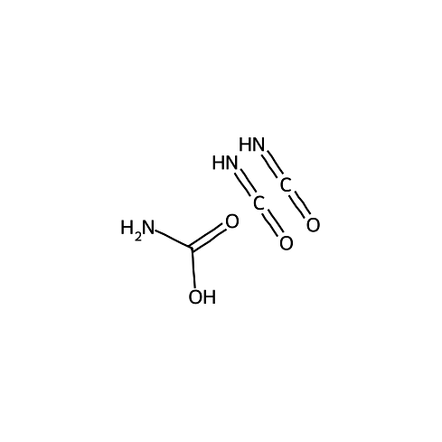 N=C=O.N=C=O.NC(=O)O